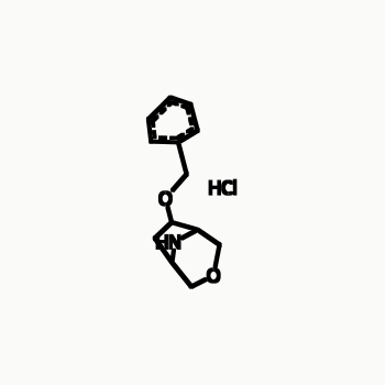 Cl.c1ccc(COC2CC3COCC2N3)cc1